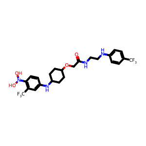 O=C(COC1CCC(Nc2ccc(N(O)O)c(C(F)(F)F)c2)CC1)NCCNc1ccc(C(F)(F)F)cc1